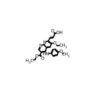 CCOC(=O)c1cnc2nc(/C=C/C(=O)O)c(OCC)cc2c1Nc1ccc(OC)cc1